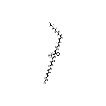 CCCCCCCC/C=C\CCCCCCCC(=O)[C@H]([C]=O)CCCCCCCCCCCCCC